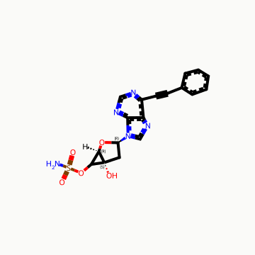 NS(=O)(=O)OC1[C@H]2O[C@@H](n3cnc4c(C#Cc5ccccc5)ncnc43)C[C@@]12O